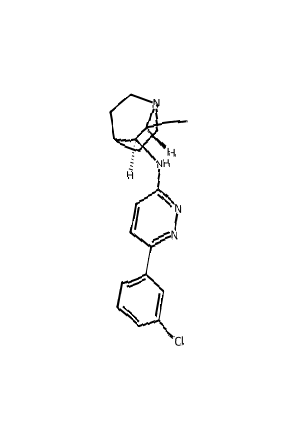 C[C@@H]1[C@@H](Nc2ccc(-c3cccc(Cl)c3)nn2)C2CCN1CC2